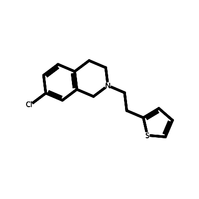 Clc1ccc2c(c1)CN(CCc1cccs1)CC2